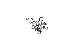 CCOP(=O)(OCC)C(N(OC(COC(C)P)c1ccccc1)C(C)(C)C)C(C)(C)C